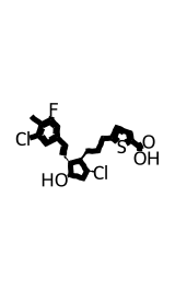 Cc1c(F)cc(/C=C/[C@@H]2[C@@H](CCCc3ccc(C(=O)O)s3)[C@H](Cl)C[C@H]2O)cc1Cl